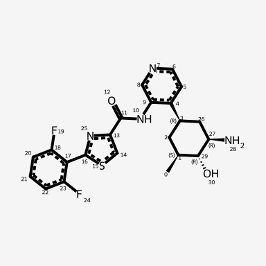 C[C@H]1C[C@@H](c2ccncc2NC(=O)c2csc(-c3c(F)cccc3F)n2)C[C@@H](N)[C@@H]1O